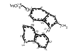 CS(=O)(=O)O.Cc1cc2ccccc2[nH]1.c1ccc2ncccc2c1